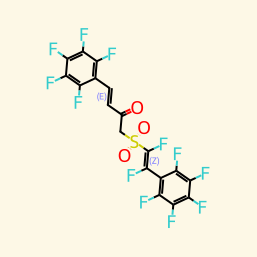 O=C(/C=C/c1c(F)c(F)c(F)c(F)c1F)CS(=O)(=O)/C(F)=C(\F)c1c(F)c(F)c(F)c(F)c1F